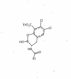 CCOC(=O)c1c(Cl)c(Cl)cc2c1OB(O)[C@@H](NC(=O)CC)C2